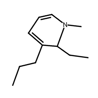 CCCC1=CC=CN(C)C1CC